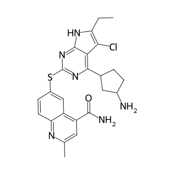 CCc1[nH]c2nc(Sc3ccc4nc(C)cc(C(N)=O)c4c3)nc(C3CCC(N)C3)c2c1Cl